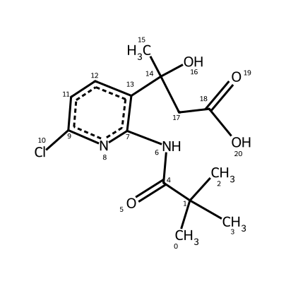 CC(C)(C)C(=O)Nc1nc(Cl)ccc1C(C)(O)CC(=O)O